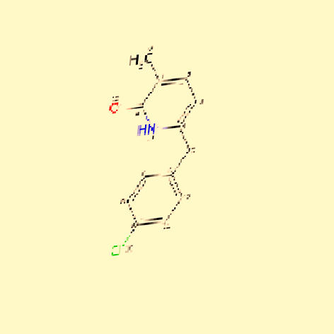 Cc1ccc(Cc2ccc(Cl)cc2)[nH]c1=O